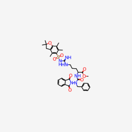 COC(=O)C(CCCNC(=N)NS(=O)(=O)c1c(C)c(C)c2c(c1C)CC(C)(C)O2)NC(=O)N(Cc1ccccc1)N1C(=O)c2ccccc2C1=O